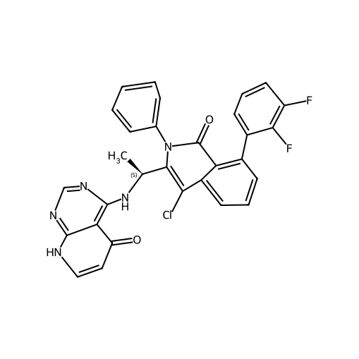 C[C@H](Nc1ncnc2[nH]ccc(=O)c12)c1c(Cl)c2cccc(-c3cccc(F)c3F)c2c(=O)n1-c1ccccc1